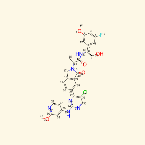 COc1cc(F)cc([C@@H](CO)NC(=O)C(C)N2Cc3ccc(-c4nc(Nc5ccnc(OC)c5)ncc4Cl)cc3C2=O)c1